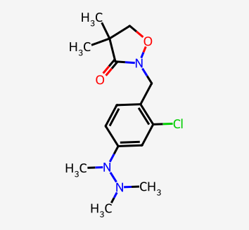 CN(C)N(C)c1ccc(CN2OCC(C)(C)C2=O)c(Cl)c1